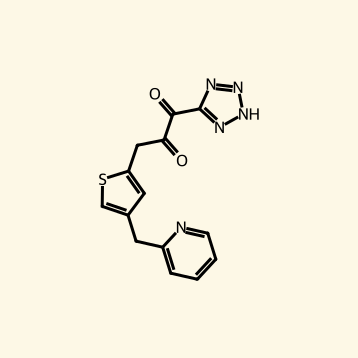 O=C(Cc1cc(Cc2ccccn2)cs1)C(=O)c1nn[nH]n1